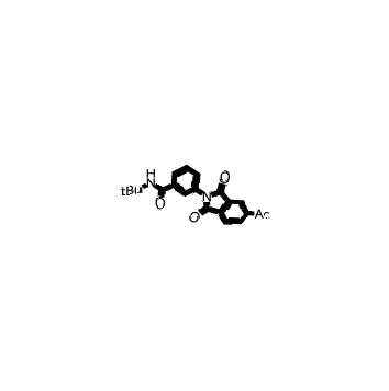 CC(=O)c1ccc2c(c1)C(=O)N(c1cccc(C(=O)NC(C)(C)C)c1)C2=O